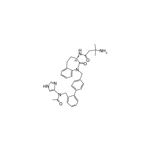 CC(=O)N(Cc1ccccc1-c1ccc(CN2C(=O)[C@H](NC(=O)CC(C)(C)N)CCc3ccccc32)cc1)c1c[nH]cn1